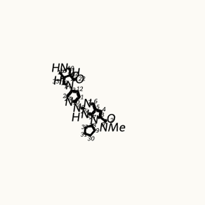 CNC(=O)c1cc2cnc(Nc3ccc(N4C[C@@H]5CNC[C@@H]5C4=O)cn3)nc2n1C1CCCC1